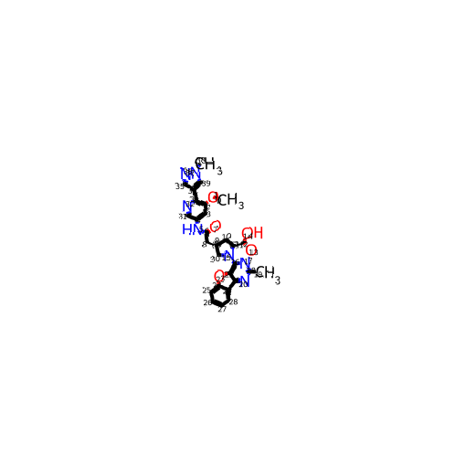 COc1cc(NC(=O)C[C@H]2C[C@@H](C(=O)O)N(c3nc(C)nc4c3oc3ccccc34)C2)cnc1-c1cnn(C)c1